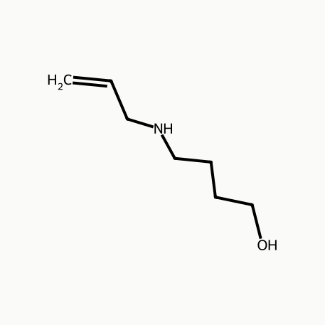 C=CCNCCCCO